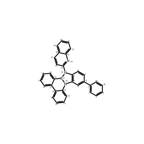 c1ccc(-c2ccc3c(c2)N2B(c4ccccc4-c4ccccc42)N3c2ccc3ccccc3n2)cc1